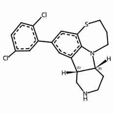 Clc1ccc(Cl)c(-c2cc3c4c(c2)[C@H]2CNCC[C@H]2N4CCCS3)c1